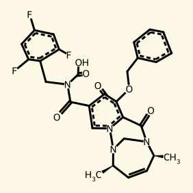 C[C@@H]1C=C[C@H](C)N2CN1n1cc(C(=O)N(Cc3c(F)cc(F)cc3F)C(=O)O)c(=O)c(OCc3ccccc3)c1C2=O